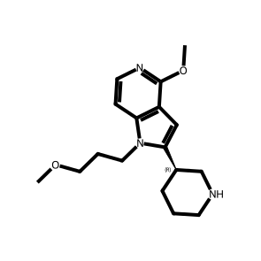 COCCCn1c([C@@H]2CCCNC2)cc2c(OC)nccc21